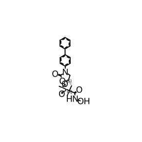 C[C@@](C[C@H]1CN(c2ccc(-c3ccccc3)cc2)C(=O)O1)(C(=O)NO)S(C)(=O)=O